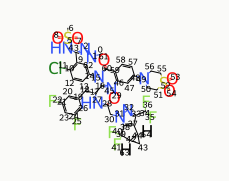 Cn1nc(NS(C)(=O)=O)c2c(Cl)ccc(-n3c([C@H](Cc4cc(F)cc(F)c4)NC(=O)Cn4nc(C(F)F)c5c4C(F)(F)[C@@H]4C[C@H]54)nc4cc(N5CCS(=O)(=O)CC5)ccc4c3=O)c21